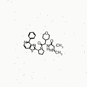 CN[C@@H](C)C(=O)N[C@H](C(=O)N1CCC[C@H]1c1nc2c(-c3ccccc3)nccc2s1)C1CCOCC1